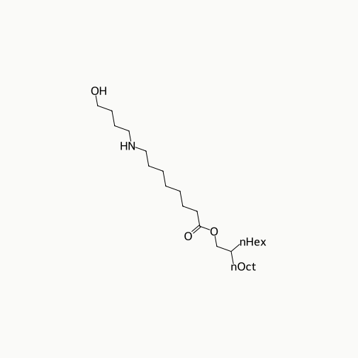 CCCCCCCCC(CCCCCC)COC(=O)CCCCCCCNCCCCO